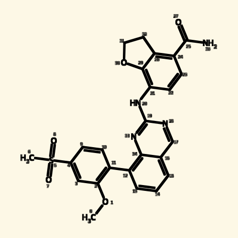 COc1cc(S(C)(=O)=O)ccc1-c1cccc2cnc(Nc3ccc(C(N)=O)c4c3OCC4)nc12